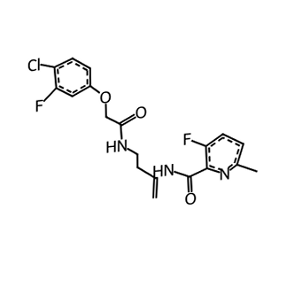 C=C(CCNC(=O)COc1ccc(Cl)c(F)c1)NC(=O)c1nc(C)ccc1F